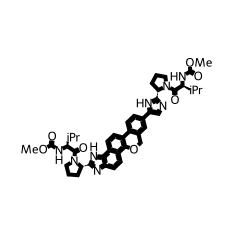 COC(=O)N[C@H](C(=O)N1CCC[C@H]1c1ncc(-c2ccc3c(c2)COc2c-3ccc3c2ccc2nc([C@@H]4CCCN4C(=O)[C@@H](NC(=O)OC)C(C)C)[nH]c23)[nH]1)C(C)C